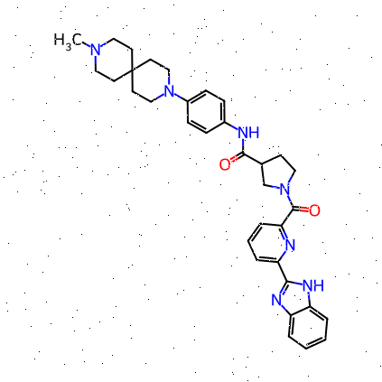 CN1CCC2(CC1)CCN(c1ccc(NC(=O)C3CCN(C(=O)c4cccc(-c5nc6ccccc6[nH]5)n4)C3)cc1)CC2